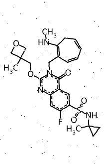 CNC1=C(Cn2c(OCC3(C)COC3)nc3cc(F)c(S(=O)(=O)NC4(C)CC4)cc3c2=O)C=CC=CC1